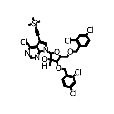 CC1(O)C(OCc2ccc(Cl)cc2Cl)C(COCc2ccc(Cl)cc2Cl)OC1n1cc(C#C[Si](C)(C)C)c2c(Cl)ncnc21